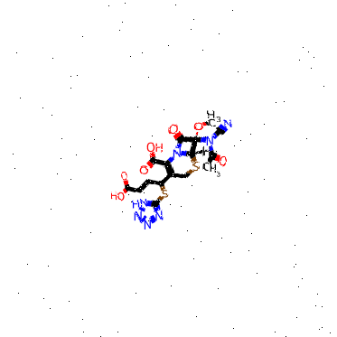 CO[C@@]1(N(C#N)C(C)=O)C(=O)N2C(C(=O)O)=C(C(CCC(=O)O)Sc3nnn[nH]3)CS[C@H]21